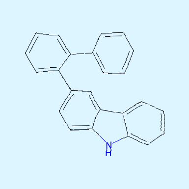 c1ccc(-c2ccccc2-c2ccc3[nH]c4ccccc4c3c2)cc1